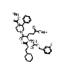 COC(=O)CCC(C(=O)N1CCN(C(=O)OC(C)(C)C)C(c2ccccc2)C1)N(NC(=O)OCc1cccc(Cl)c1)C(=O)CCC1CCCCC1